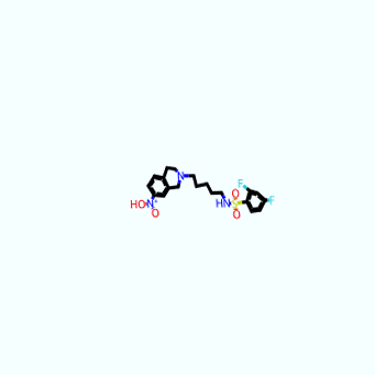 O=[N+](O)c1ccc2c(c1)CN(CCCCCNS(=O)(=O)c1ccc(F)cc1F)CC2